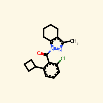 Cc1nn(C(=O)c2c(Cl)cccc2C2CCC2)c2c1CCCC2